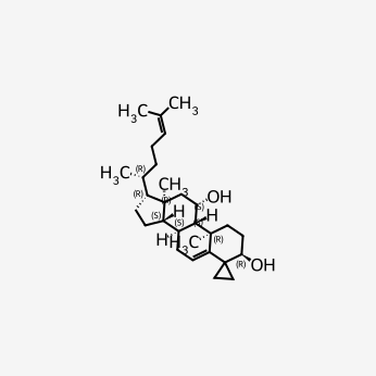 CC(C)=CCC[C@@H](C)[C@H]1CC[C@H]2[C@@H]3CC=C4C5(CC5)[C@H](O)CC[C@]4(C)[C@H]3[C@@H](O)C[C@]12C